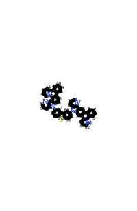 c1ccc(-c2ccccc2-c2ccc3c(c2)c2ncccc2n3-c2ccc3sc4ccc(-n5c6ccc(-c7ccccc7-c7ccccn7)cc6c6ncccc65)cc4c3c2)nc1